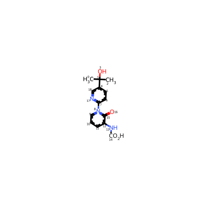 CC(C)(O)c1ccc(-n2cccc(NC(=O)O)c2=O)nc1